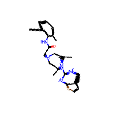 Cc1cccc(C)c1NC(=O)CN1CC(C)N(c2ncc3ccsc3n2)C(C)C1